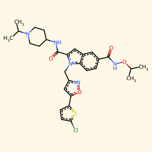 CC(C)ONC(=O)c1ccc2c(c1)cc(C(=O)NC1CCN(C(C)C)CC1)n2Cc1cc(-c2ccc(Cl)s2)on1